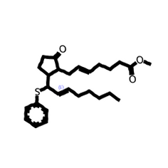 CCCCC/C=C/C(Sc1ccccc1)C1CCC(=O)C1CC=CCCCC(=O)OC